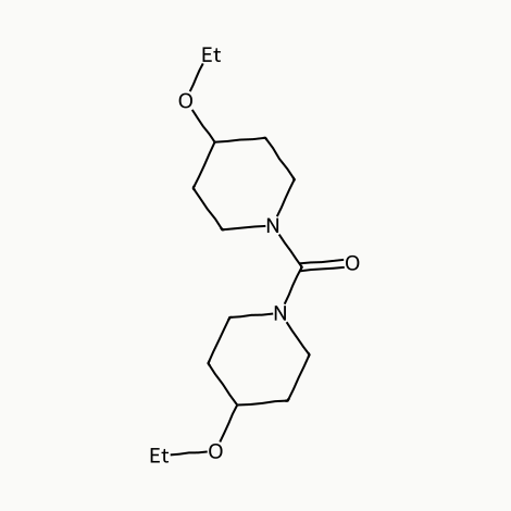 CCOC1CCN(C(=O)N2CCC(OCC)CC2)CC1